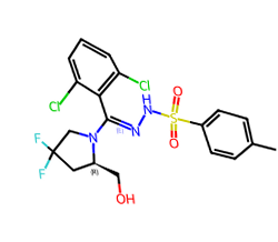 Cc1ccc(S(=O)(=O)N/N=C(\c2c(Cl)cccc2Cl)N2CC(F)(F)C[C@@H]2CO)cc1